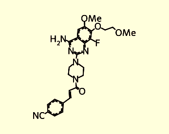 COCCOc1c(OC)cc2c(N)nc(N3CCN(C(=O)/C=C/c4ccc(C#N)cc4)CC3)nc2c1F